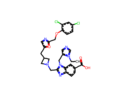 CCn1cncc1Cn1c(CN2CC(Cc3cnc(COc4ccc(Cl)cc4Cl)o3)C2)nc2ccc(C(=O)O)cc21